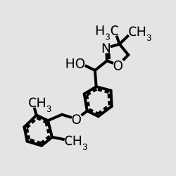 Cc1cccc(C)c1COc1cccc(C(O)C2=NC(C)(C)CO2)c1